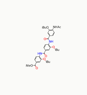 CCC(C)Oc1cc(C(=O)Nc2ccc(C(=O)OC)cc2OC(C)CC)ccc1NC(=O)c1ccc(NC(C)=O)c(OCC(C)C)c1